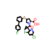 O=C(O)[C@@H]1C[C@@H](Sc2cccc(-c3ccc(F)cc3)c2)CN1C(=O)C1(c2ncc(Cl)cc2F)CC1